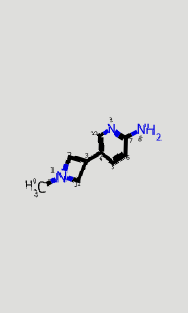 CN1CC(c2ccc(N)nc2)C1